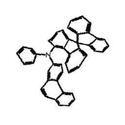 c1ccc(N(c2ccc3c(ccc4ccccc43)c2)c2cccc3c2-c2ccccc2C32c3ccccc3-c3ccccc32)cc1